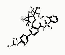 BC(B)(B)C1CN(c2nc(-c3ccc(OC(C)C)nc3)ccc2C(=O)NS(=O)(=O)c2cccnc2N)C(C)(C)C1(B)B